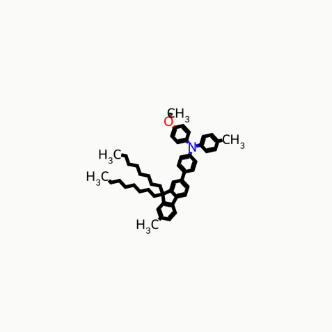 CCCCCCCCC1(CCCCCCCC)c2cc(C)ccc2-c2ccc(-c3ccc(N(c4ccc(C)cc4)c4ccc(OC)cc4)cc3)cc21